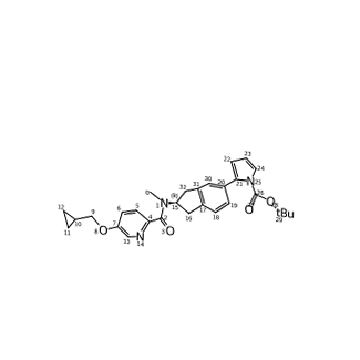 CN(C(=O)c1ccc(OCC2CC2)cn1)[C@@H]1Cc2ccc(-c3cccn3C(=O)OC(C)(C)C)cc2C1